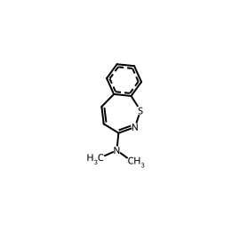 CN(C)C1=NSc2ccccc2C=C1